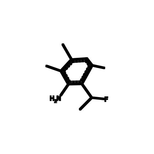 Cc1cc(C)c(C(C)F)c(N)c1C